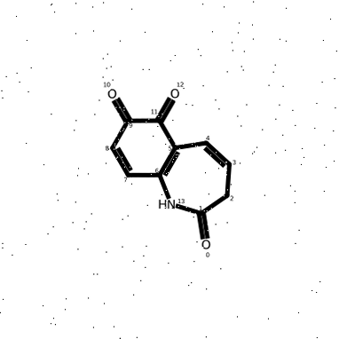 O=C1CC=CC2=C(C=CC(=O)C2=O)N1